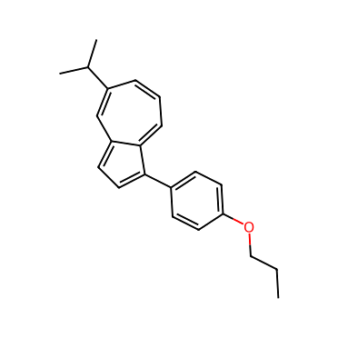 CCCOc1ccc(-c2ccc3cc(C(C)C)cccc2-3)cc1